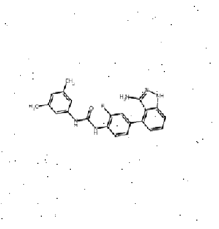 Cc1cc(C)cc(NC(=O)Nc2ccc(-c3cccc4[nH]nc(N)c34)cc2F)c1